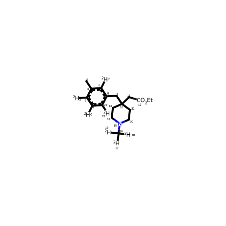 [2H]c1c([2H])c(C)c([2H])c(CC2(CC(=O)OCC)CCN(C([2H])([2H])[2H])CC2)c1[2H]